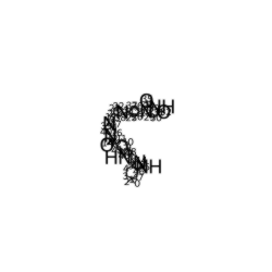 CC1(C)CCc2c(-c3cc4ccc(C(=O)N5CCN(CC6CCN(c7ccc(N8CCC(=O)NC8=O)cc7)C6)CC5)cc4[nH]3)n[nH]c2C1